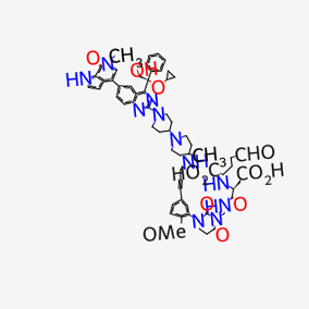 COc1ccc(C#CCNC2(C)CCN(C3CCN(c4nc([C@@](CO)(OC5CC5)c5ccccc5)c5cc(-c6cn(C)c(=O)c7[nH]ccc67)ccc5n4)CC3)CC2)cc1N1CCC(=O)N(CNC(=O)[C@H](CC(=O)O)NC(CCC=O)C(=O)O)C1=O